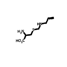 C=CCNCSCC(N)C(=O)O